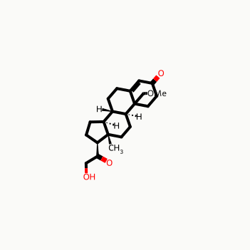 COCC12CCC(=O)C=C1CC[C@@H]1[C@@H]2CC[C@]2(C)[C@@H](C(=O)CO)CC[C@@H]12